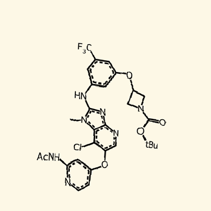 CC(=O)Nc1cc(Oc2cnc3nc(Nc4cc(OC5CN(C(=O)OC(C)(C)C)C5)cc(C(F)(F)F)c4)n(C)c3c2Cl)ccn1